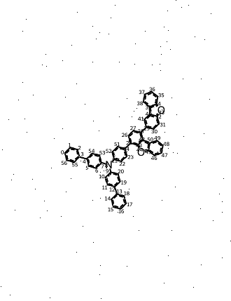 c1ccc(-c2ccc(N(c3ccc(-c4ccccc4)cc3)c3ccc(-c4ccc(-c5ccc6oc7ccccc7c6c5)c5c4oc4ccccc45)cc3)cc2)cc1